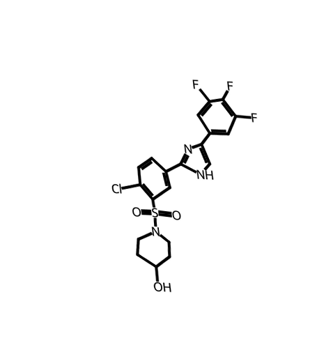 O=S(=O)(c1cc(-c2nc(-c3cc(F)c(F)c(F)c3)c[nH]2)ccc1Cl)N1CCC(O)CC1